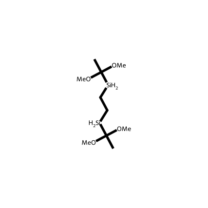 COC(C)(OC)[SiH2]CC[SiH2]C(C)(OC)OC